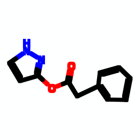 O=C(Cc1ccccc1)Oc1cc[nH]n1